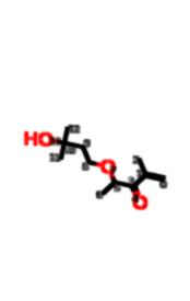 C=C(C)C(=O)C(C)OCCC(C)(C)O